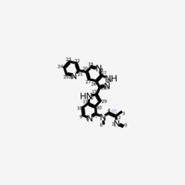 C=N/C(C)=C\N(C)c1nccc2[nH]c(-c3n[nH]c4ncc(-c5ccccn5)cc34)cc12